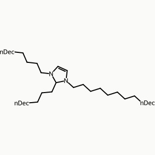 CCCCCCCCCCCCCCCCCCN1C=CN(CCCCCCCCCCCCCC)C1CCCCCCCCCCCCC